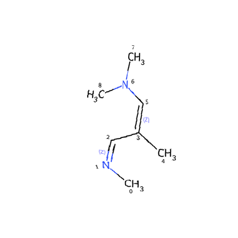 C/N=C\C(C)=C/N(C)C